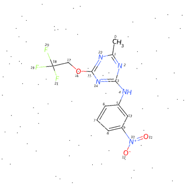 Cc1nc(Nc2cccc([N+](=O)[O-])c2)nc(OCC(F)(F)F)n1